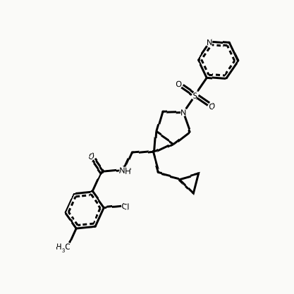 Cc1ccc(C(=O)NCC2(CC3CC3)C3CN(S(=O)(=O)c4cccnc4)CC32)c(Cl)c1